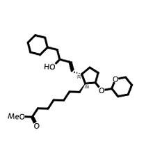 COC(=O)CCCCCC[C@@H]1C(OC2CCCCO2)CC[C@H]1C=CC(O)CC1CCCCC1